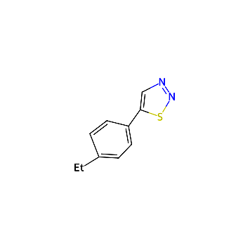 [CH2]Cc1ccc(-c2cnns2)cc1